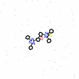 c1ccc(-c2nc(-c3ccccc3)nc(-c3ccc4oc5c(-c6nc(-c7ccccc7)c7sc8ccccc8c7n6)cccc5c4c3)n2)cc1